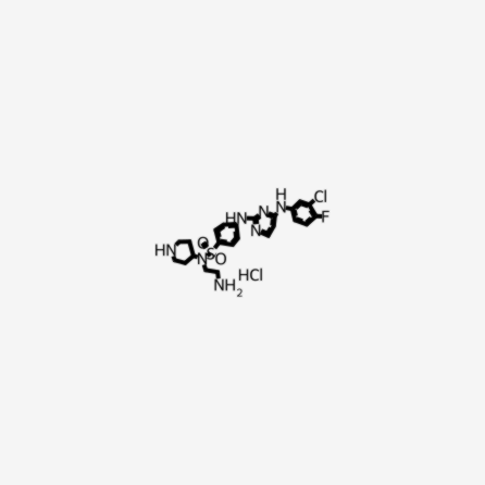 Cl.NCCN(C1CCNCC1)S(=O)(=O)c1ccc(Nc2nccc(Nc3ccc(F)c(Cl)c3)n2)cc1